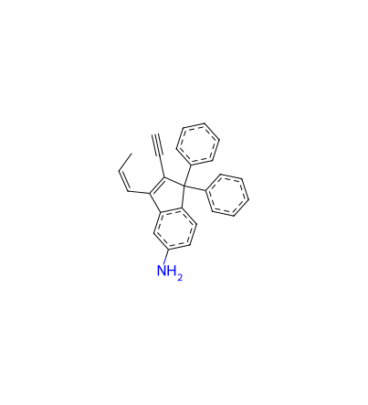 C#CC1=C(/C=C\C)c2cc(N)ccc2C1(c1ccccc1)c1ccccc1